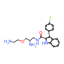 NCCOC[C@H](N)CNC(=O)c1[nH]c2ccccc2c1-c1ccc(F)cc1